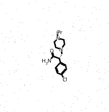 CC(C)N1CCN(C[C@@H](C(N)=O)c2ccc(Cl)cc2)CC1